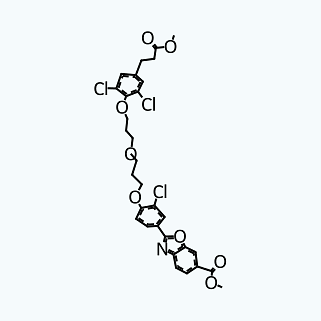 COC(=O)CCc1cc(Cl)c(OCCCOCCCOc2ccc(-c3nc4ccc(C(=O)OC)cc4o3)cc2Cl)c(Cl)c1